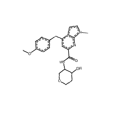 COc1ccc(Cc2cc(C(=O)NC3COCCC3O)nc3c2ccn3C)cc1